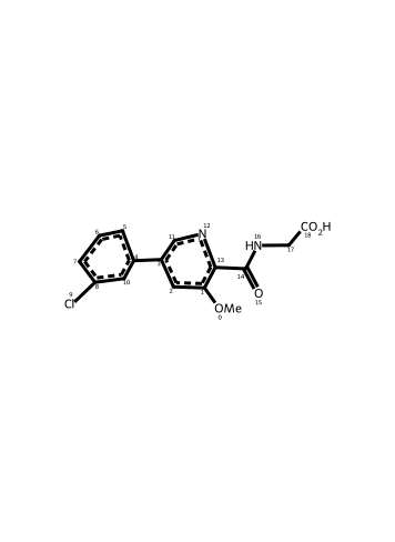 COc1cc(-c2cccc(Cl)c2)cnc1C(=O)NCC(=O)O